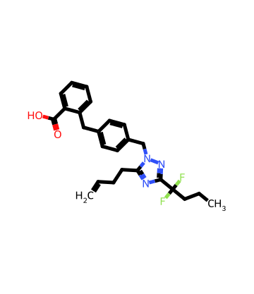 C=CCCc1nc(C(F)(F)CCC)nn1Cc1ccc(Cc2ccccc2C(=O)O)cc1